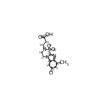 Cc1cc(Cl)cc2c1nc1n2CCN(CCC(=O)O)S1(=O)=O